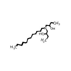 CCCCCCCCCCCCN(CC(O)CC)CC(O)CC